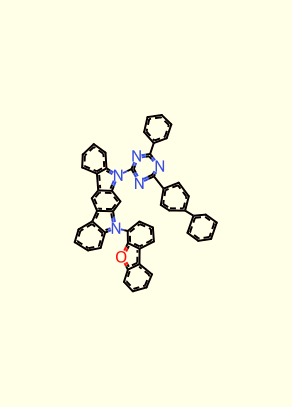 c1ccc(-c2ccc(-c3nc(-c4ccccc4)nc(-n4c5ccccc5c5cc6c7ccccc7n(-c7cccc8c7oc7ccccc78)c6cc54)n3)cc2)cc1